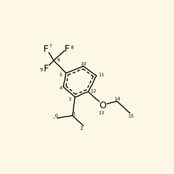 [CH2]C(C)c1cc(C(F)(F)F)ccc1OCC